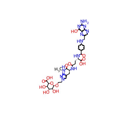 CNC(=O)[C@H](Cc1cn(CCO[C@@H]2OC(C(=O)O)C(O)[C@H](O)C2O)nn1)NC(=O)CC[C@H](NC(=O)c1ccc(NCc2cnc3nc(N)nc(O)c3n2)cc1)C(=O)O